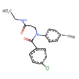 COc1ccc(N(CC(=O)NCC(=O)O)C(=O)c2ccc(Cl)cc2)cc1